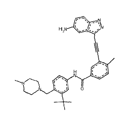 Cc1ccc(C(=O)Nc2ccc(CN3CCN(C)CC3)c(C(C)(C)C)c2)cc1C#Cc1nnc2ccc(N)cn12